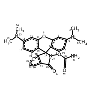 CN(C)c1ccc2c(c1)Oc1cc(N(C)C)ccc1C21c2ccccc2C(=O)N1OC(N)=O